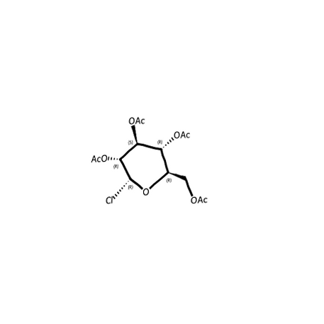 CC(=O)OC[C@H]1O[C@H](Cl)[C@H](OC(C)=O)[C@@H](OC(C)=O)[C@@H]1OC(C)=O